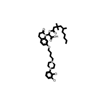 CCCCCC(C)CC(C)(C)CC(=O)OC(C(=O)O)N1C(=O)CCc2ccc(OCCCCN3CCN(c4cccc(Cl)c4Cl)CC3)cc21